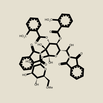 COC[C@@H]1O[C@H](O[C@]2(O)O[C@@H](C(O)N3C(=O)c4ccccc4C3=O)[C@H](OC(=O)c3ccccc3C(=O)O)[C@@H](OC(=O)c3ccccc3C(=O)O)[C@@]2(O)N2C(=O)c3ccccc3C2=O)[C@@H](O)[C@H](O)[C@H]1O